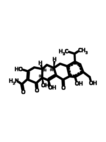 CC(C)c1cc(CO)c(O)c2c1C[C@H]1C[C@H]3CC(O)=C(C(N)=O)C(=O)[C@@]3(O)C(O)=C1C2=O